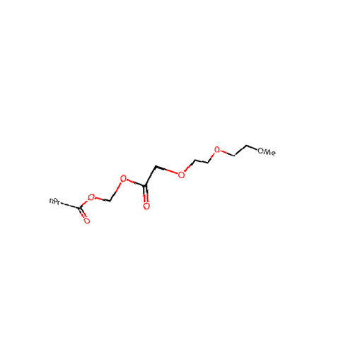 CCCC(=O)OCOC(=O)COCCOCCOC